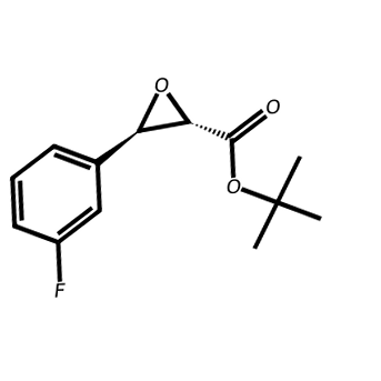 CC(C)(C)OC(=O)[C@H]1O[C@@H]1c1cccc(F)c1